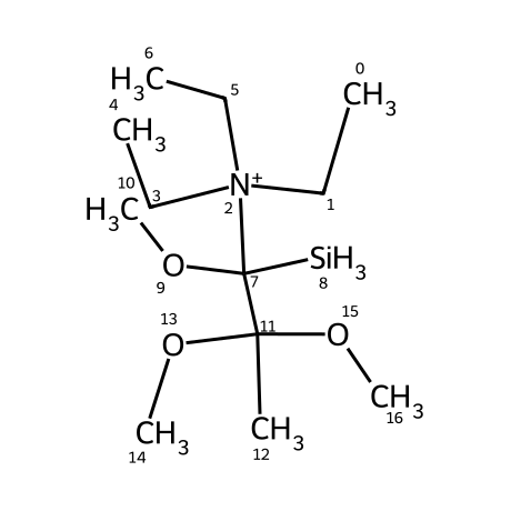 CC[N+](CC)(CC)C([SiH3])(OC)C(C)(OC)OC